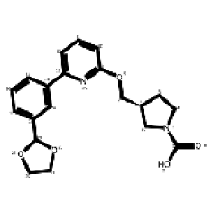 O=C(O)N1CC[C@H](COc2cccc(-c3cccc(C4OCCO4)c3)n2)C1